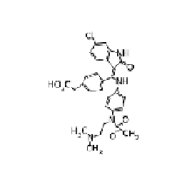 CN(C)CCN(c1ccc(N/C(=C2\C(=O)Nc3cc(Cl)ccc32)c2ccc(CC(=O)O)cc2)cc1)S(C)(=O)=O